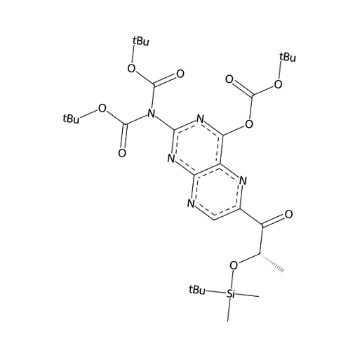 C[C@H](O[Si](C)(C)C(C)(C)C)C(=O)c1cnc2nc(N(C(=O)OC(C)(C)C)C(=O)OC(C)(C)C)nc(OC(=O)OC(C)(C)C)c2n1